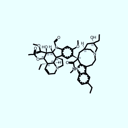 CCc1ccc2[nH]c3c(c2c1)CCN1C[C@H](C[C@@](O)(CC)C1)C[C@]3(C(=O)OC)c1cc2c(cc1OC)N(C=O)[C@H]1[C@@](O)(C(=O)OC)[C@H](OC(C)=O)[C@]3(CC)C=CCN4CC[C@]21[C@@H]43